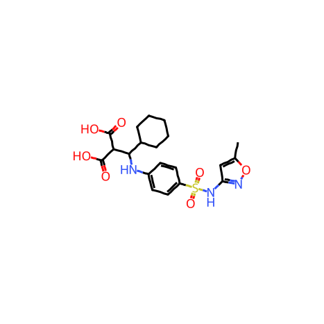 Cc1cc(NS(=O)(=O)c2ccc(NC(C3CCCCC3)C(C(=O)O)C(=O)O)cc2)no1